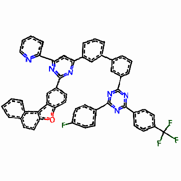 Fc1ccc(-c2nc(-c3ccc(C(F)(F)F)cc3)nc(-c3cccc(-c4cccc(-c5cc(-c6ccccn6)nc(-c6ccc7oc8ccc9ccccc9c8c7c6)n5)c4)c3)n2)cc1